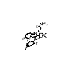 COc1cc(C)c(-c2nc3ccc(F)cn3c2Nc2c(F)cc(F)cc2F)c(OCC(N)=O)c1